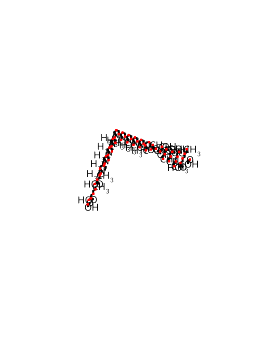 CC(=O)O.CCC(=O)O.CCCC(=O)O.CCCCC(=O)O.CCCCC(=O)O.CCCCCC(=O)O.CCCCCCC(=O)O.CCCCCCCC(=O)O.CN1CCCC1.CN1CCCC1.CN1CCCC1.CN1CCCC1.CN1CCCC1.CN1CCCC1.CN1CCCC1.CN1CCCC1.CN1CCCCC1.CN1CCCCC1.O=CO.O=CO